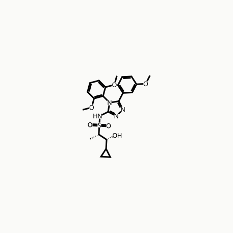 COc1cccc(-c2nnc(NS(=O)(=O)[C@@H](C)[C@H](O)C3CC3)n2-c2c(OC)cccc2OC)c1